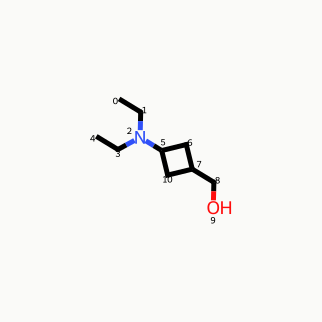 CCN(CC)C1CC(CO)C1